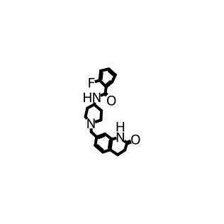 O=C1CCc2ccc(CN3CCC(NC(=O)c4ccccc4F)CC3)cc2N1